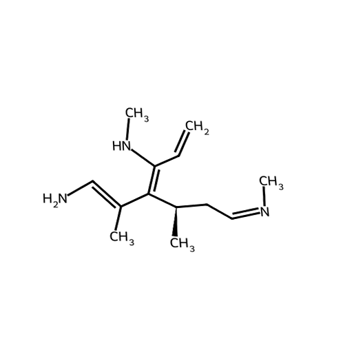 C=C/C(NC)=C(/C(C)=C/N)[C@H](C)C/C=N\C